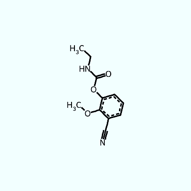 CCNC(=O)Oc1cccc(C#N)c1OC